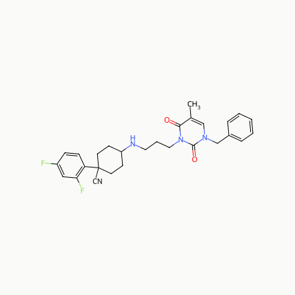 Cc1cn(Cc2ccccc2)c(=O)n(CCCNC2CCC(C#N)(c3ccc(F)cc3F)CC2)c1=O